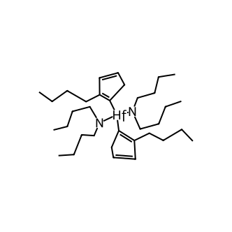 CCCCC1=[C]([Hf]([C]2=C(CCCC)C=CC2)([N](CCCC)CCCC)[N](CCCC)CCCC)CC=C1